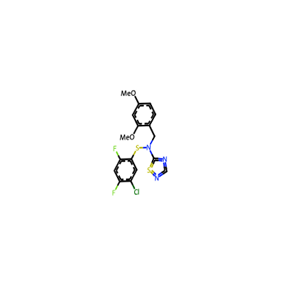 COc1ccc(CN(Sc2cc(Cl)c(F)cc2F)c2ncns2)c(OC)c1